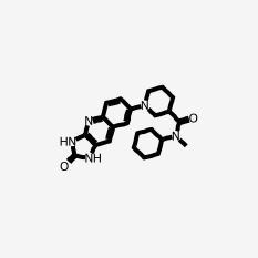 CN(C(=O)C1CCCN(c2ccc3nc4[nH]c(=O)[nH]c4cc3c2)C1)C1CCCCC1